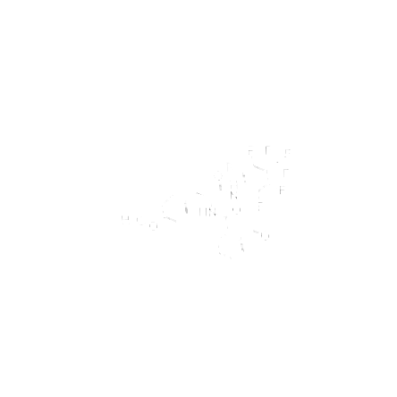 COc1ccc(C[C@H](NC(=O)c2ccccc2C=O)C(=O)Nc2c(F)c(F)c(C(F)(F)F)c(F)c2F)cc1